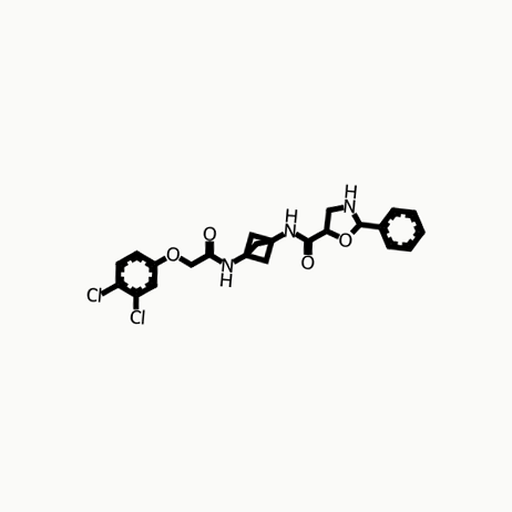 O=C(COc1ccc(Cl)c(Cl)c1)NC12CC(NC(=O)C3CNC(c4ccccc4)O3)(C1)C2